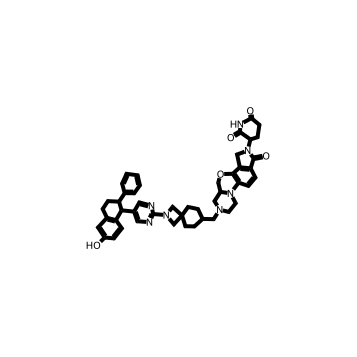 O=C1CCC(N2Cc3c(ccc4c3OCC3CN(CC5CCC6(CC5)CN(c5ncc(C7c8ccc(O)cc8CCC7c7ccccc7)cn5)C6)CCN43)C2=O)C(=O)N1